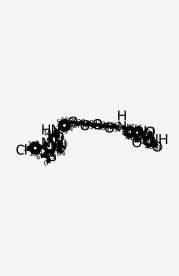 Cc1sc2c(c1C)C(c1ccc(Cl)cc1)=N[C@@H]([C@H](C)C(=O)Nc1ccc(OCCOCCOCCOCCNc3ccc4c(=O)n(C5CCC(=O)NC5=O)ncc4c3)cc1)c1nnc(C)n1-2